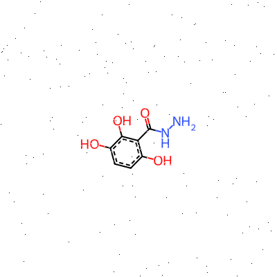 NNC(=O)c1c(O)ccc(O)c1O